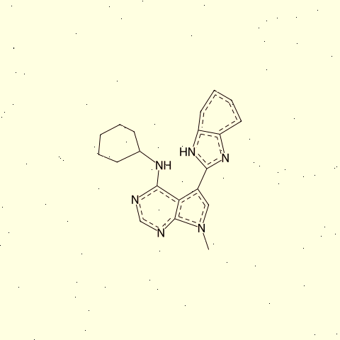 Cn1cc(-c2nc3ccccc3[nH]2)c2c(NC3CCCCC3)ncnc21